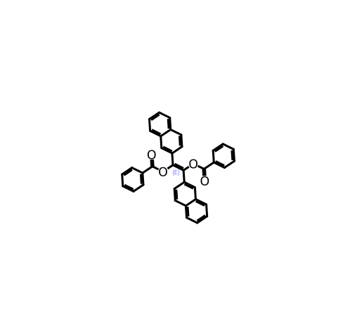 O=C(O/C(=C(/OC(=O)c1ccccc1)c1ccc2ccccc2c1)c1ccc2ccccc2c1)c1ccccc1